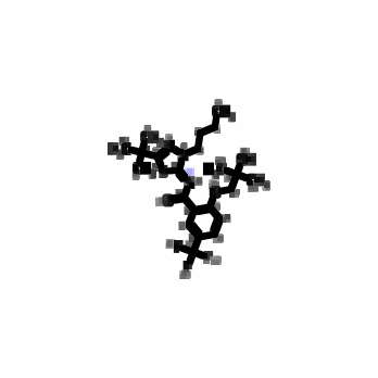 CCCCn1nc(C(C)(C)C)s/c1=N\C(=O)c1cc(C(F)(F)F)ccc1OCC(C)(C)O